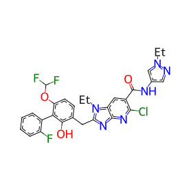 CCn1cc(NC(=O)c2cc3c(nc2Cl)nc(Cc2ccc(OC(F)F)c(-c4ccccc4F)c2O)n3CC)cn1